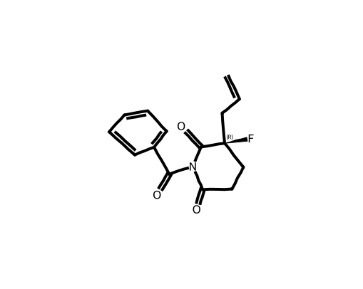 C=CC[C@]1(F)CCC(=O)N(C(=O)c2ccccc2)C1=O